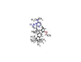 C/C1=C(\C=C/N)c2nc(nc(N(C)C)n2)-c2cc(OCC#N)c3c(c2)C1(C)c1cc2c(cc1-3)C(C)(C)C(C)(C)C2(C)C